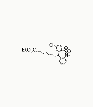 CCOC(=O)CCCCCCCC1c2ccccc2N(C)S(=O)(=O)c2ccc(Cl)cc21